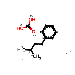 CC(C)CCc1ccccc1.O=C(O)O